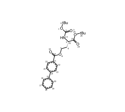 CC(C)(C)OC(=O)N[C@@H](CCOC(=O)c1ccc(-c2ccccc2)cc1)C(=O)OC(C)(C)C